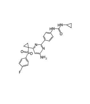 Nc1cc(C2(S(=O)(=O)c3ccc(F)cc3)CC2)nc(-c2ccc(NC(=O)NC3CC3)cc2)n1